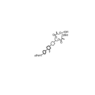 C=C(COC)C(=O)OCC(COC(=O)C(=C)COCCO)C1CCC(c2ccc(-c3ccc(CCCCC)cc3)c(F)c2)CC1